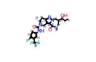 CC[C@H](O)C1CN(C)C(=O)c2c3c(nn2C1)C[C@@H](C)N(C(=O)Nc1ccc(F)c(C(F)(F)F)c1)C3